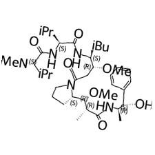 CCC(C)[C@H](NC(=O)[C@@H](NC(=O)[C@@H](NC)C(C)C)C(C)C)[C@@H](CC(=O)N1CCC[C@H]1[C@H](OC)[C@@H](C)C(=O)N[C@H](C)[C@@H](O)c1ccccc1)OC